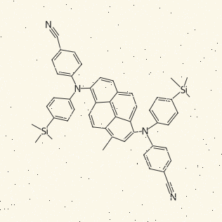 Cc1cc(N(c2ccc(C#N)cc2)c2ccc([Si](C)(C)C)cc2)c2ccc3ccc(N(c4ccc(C#N)cc4)c4ccc([Si](C)(C)C)cc4)c4ccc1c2c34